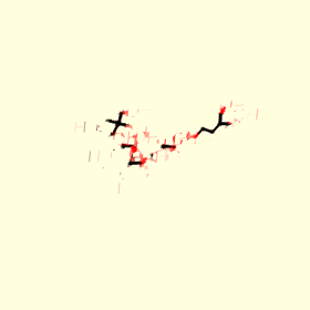 C=CC(=O)O.C=CC(=O)O.C=CC(=O)O.CCC(CO)(CO)CO.OCCCC(CO)CO